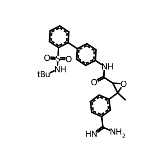 CC(C)(C)NS(=O)(=O)c1ccccc1-c1ccc(NC(=O)C2OC2(C)c2cccc(C(=N)N)c2)cc1